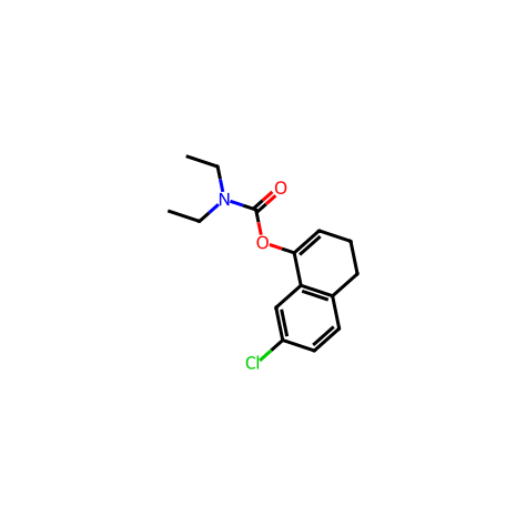 CCN(CC)C(=O)OC1=CCCc2ccc(Cl)cc21